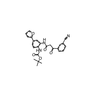 CC(C)(C)OC(=O)Nc1ccc(-c2ccco2)cc1NC(=O)CC(=O)c1cccc(C#N)c1